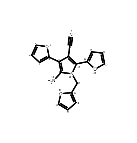 N#Cc1c(-c2ccco2)c(N)n(Cc2ccco2)c1-c1ccco1